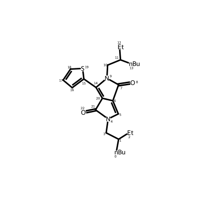 CCCCC(CC)CN1C=C2C(=O)N(CC(CC)CCCC)C(c3cccs3)=C2C1=O